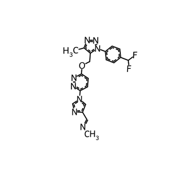 C/N=C/c1cn(-c2ccc(OCc3c(C)nnn3-c3ccc(C(F)F)cc3)nn2)cn1